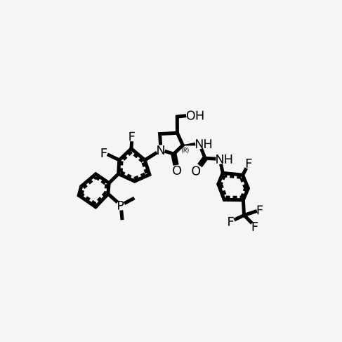 CP(C)c1ccccc1-c1ccc(N2CC(CO)[C@@H](NC(=O)Nc3ccc(C(F)(F)F)cc3F)C2=O)c(F)c1F